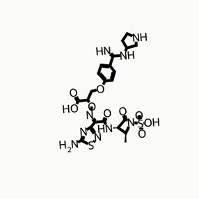 C[C@H]1[C@H](NC(=O)C(=NOC(COc2ccc(C(=N)NC3CCNC3)cc2)C(=O)O)c2nsc(N)n2)C(=O)N1S(=O)(=O)O